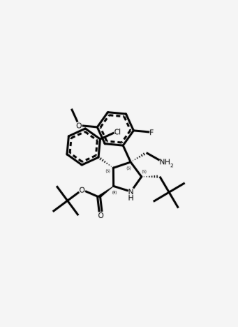 COc1ccc(F)c([C@@]2(CN)[C@H](CC(C)(C)C)N[C@@H](C(=O)OC(C)(C)C)[C@@H]2c2ccccc2Cl)c1